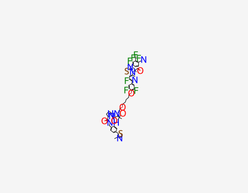 Cc1ncsc1-c1ccc(CNC(=O)C2CCCN2C(=O)C(NC(=O)COCCCCCOc2c(F)cc(-c3ncc(N(C(=S)N(C)c4ccc(C#N)c(C(F)(F)F)c4F)C(C)(C)C=O)cc3F)cc2F)C(C)(C)C)cc1